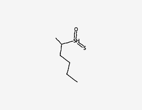 CCCCC(C)[SH](=O)=S